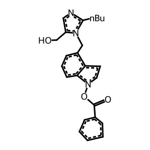 CCCCc1ncc(CO)n1Cc1cccc2c1ccn2OC(=O)c1ccccc1